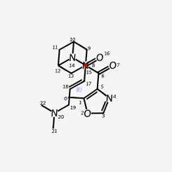 Cc1ocnc1C(=O)N1CC2CC(C1)N2C(=O)/C=C/CN(C)C